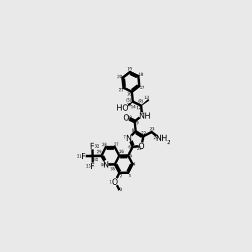 COc1ccc(-c2nc(C(=O)N[C@H](C)[C@@H](O)c3ccccc3)c(CN)o2)c2ccc(C(F)(F)F)nc12